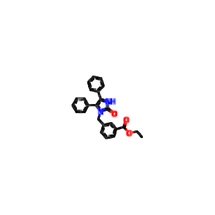 CCOC(=O)c1cccc(Cn2c(-c3ccccc3)c(-c3ccccc3)[nH]c2=O)c1